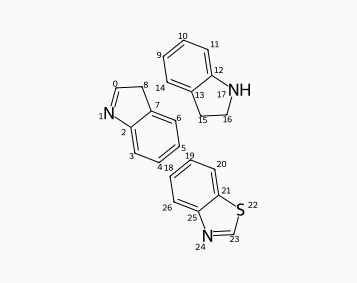 C1=Nc2ccccc2C1.c1ccc2c(c1)CCN2.c1ccc2scnc2c1